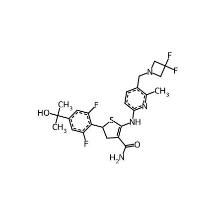 Cc1nc(NC2=C(C(N)=O)CC(c3c(F)cc(C(C)(C)O)cc3F)S2)ccc1CN1CC(F)(F)C1